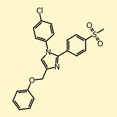 CS(=O)(=O)c1ccc(-c2nc(COc3ccccc3)cn2-c2ccc(Cl)cc2)cc1